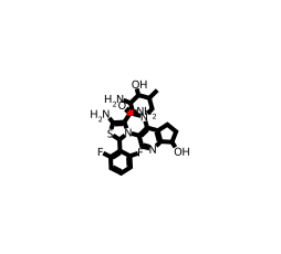 CC1CN(c2c(N3C(C(N)=O)=C(N)SC3c3c(F)cccc3F)cnc3c2CCC3O)CC(N)C1O